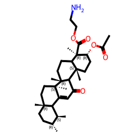 CC(=O)O[C@@H]1CC[C@@]2(C)C(CC[C@]3(C)C2C(=O)C=C2C4[C@@H](C)[C@H](C)CC[C@]4(C)CC[C@]23C)[C@@]1(C)C(=O)OCCN